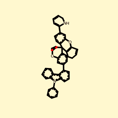 C1=CCNC(c2ccc3c(c2)OC2=C(CCC=C2)C32c3ccccc3Oc3cc(-c4cccc5c4c4ccccc4n5-c4ccccc4)ccc32)=C1